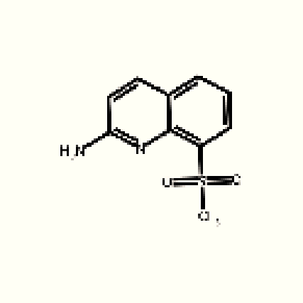 Nc1ccc2cccc(S(=O)(=O)C(F)(F)F)c2n1